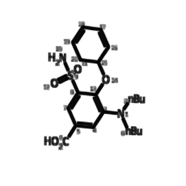 CCCCN(CCCC)c1cc(C(=O)O)cc(S(N)(=O)=O)c1OC1C=CC=CC1